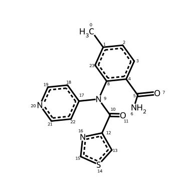 Cc1ccc(C(N)=O)c(N(C(=O)c2cscn2)c2ccncc2)c1